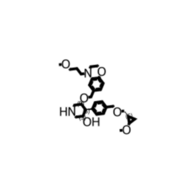 COCCCN1CCOc2ccc(CO[C@H]3CNC[C@@H](O)[C@@H]3c3ccc(COC[C@@H]4CC4OC)cc3)cc21